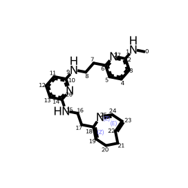 CNc1cccc(CCNc2cccc(NCCC3=C/CC/C=C/C=N\3)n2)n1